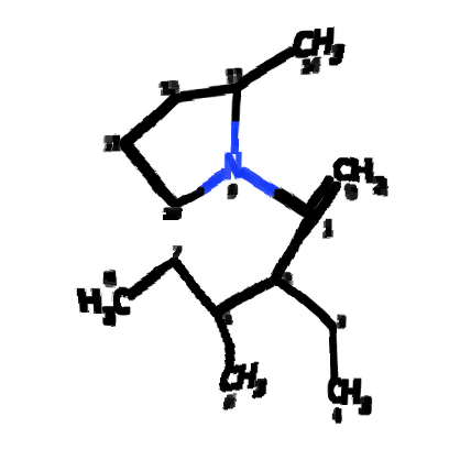 C=C(C(CC)C(C)CC)N1CCCC1C